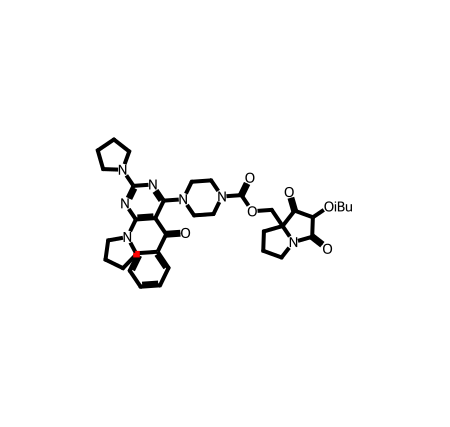 CC(C)COC1C(=O)N2CCCC2(COC(=O)N2CCN(c3nc(N4CCCC4)nc(N4CCCC4)c3C(=O)c3ccccc3)CC2)C1=O